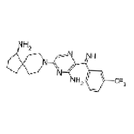 N=C(c1cccc(C(F)(F)F)c1)c1ncc(N2CCC3(CCC[C@H]3N)CC2)nc1N